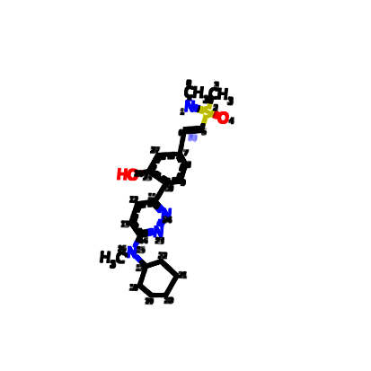 CN=S(C)(=O)/C=C/c1ccc(-c2ccc(N(C)C3CCCCC3)nn2)c(O)c1